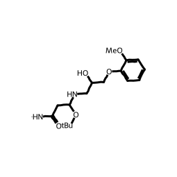 COc1ccccc1OCC(O)CNC(CC([NH])=O)OC(C)(C)C